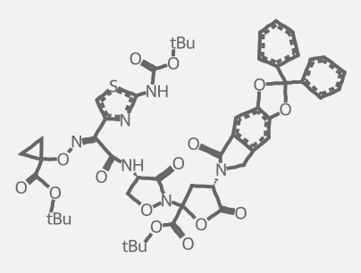 CC(C)(C)OC(=O)Nc1nc(/C(=N/OC2(C(=O)OC(C)(C)C)CC2)C(=O)N[C@H]2CON(C3(C(=O)OC(C)(C)C)C[C@H](N4Cc5cc6c(cc5C4=O)OC(c4ccccc4)(c4ccccc4)O6)C(=O)O3)C2=O)cs1